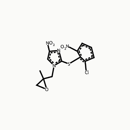 CC1(Cn2cc([N+](=O)[O-])nc2Sc2c(Cl)cccc2[N+](=O)[O-])CO1